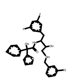 CCc1cccc(CNCC(O)C(Cc2cc(F)cc(F)c2)NC(=O)C(O)(c2ccccc2)c2cccs2)c1